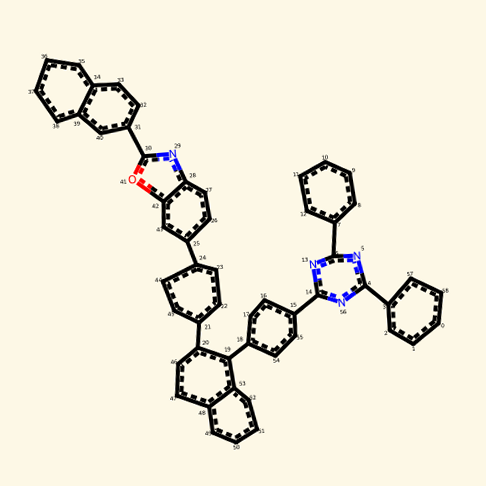 c1ccc(-c2nc(-c3ccccc3)nc(-c3ccc(-c4c(-c5ccc(-c6ccc7nc(-c8ccc9ccccc9c8)oc7c6)cc5)ccc5ccccc45)cc3)n2)cc1